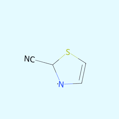 N#CC1[N]C=CS1